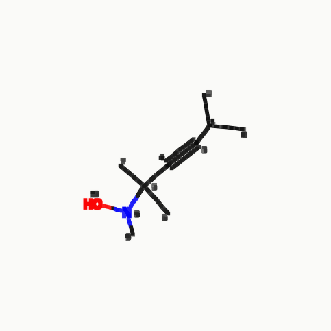 CC(C)C#CC(C)(C)N(C)O